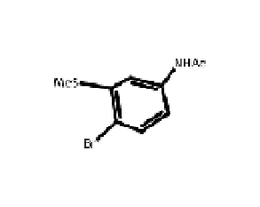 CSc1cc(NC(C)=O)ccc1Br